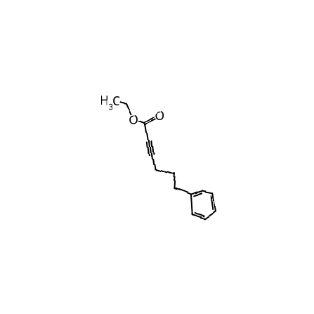 CCOC(=O)C#CCCCc1ccccc1